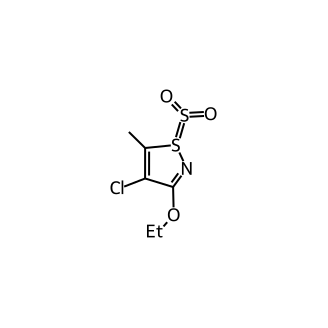 CCOC1=NS(=S(=O)=O)C(C)=C1Cl